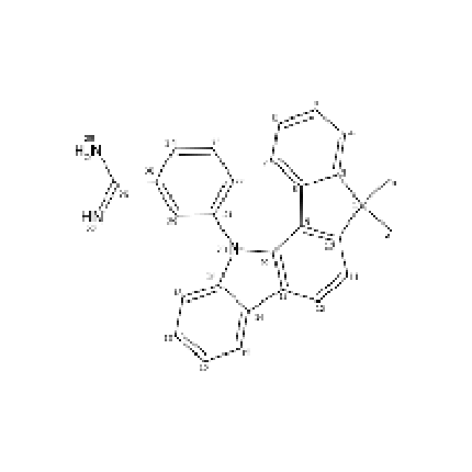 CC1(C)c2ccccc2-c2c1ccc1c3ccccc3n(-c3cccc(C(=N)N)c3)c21